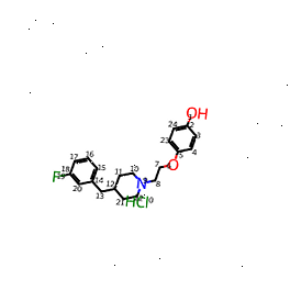 Cl.Oc1ccc(OCCN2CCC(Cc3cccc(F)c3)CC2)cc1